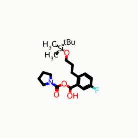 CC(C)(C)[Si](C)(C)OCCCc1ccc(F)cc1C(O)OC(=O)N1CCCC1